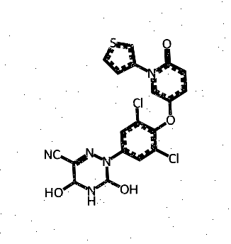 N#CC1=NN(c2cc(Cl)c(Oc3ccc(=O)n(-c4ccsc4)c3)c(Cl)c2)C(O)NC1O